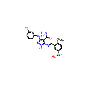 COc1ccc(BO)cc1/C=N/c1[nH]nc(Nc2cccc(Cl)c2)c1C(N)=O